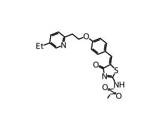 CCc1ccc(CCOc2ccc(C=C3SC(NS(C)(=O)=O)=NC3=O)cc2)nc1